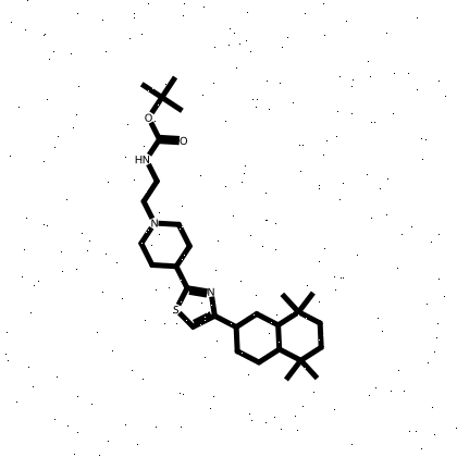 CC(C)(C)OC(=O)NCCN1CCC(c2nc(C3CCC4C(C3)C(C)(C)CCC4(C)C)cs2)CC1